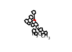 CC1(C)c2ccccc2-c2ccc(N(c3cccc4ccccc34)c3ccc4c5c(cccc35)C3(c5ccccc5-c5cccc6cccc3c56)c3cc(-c5ccccc5)ccc3-4)cc21